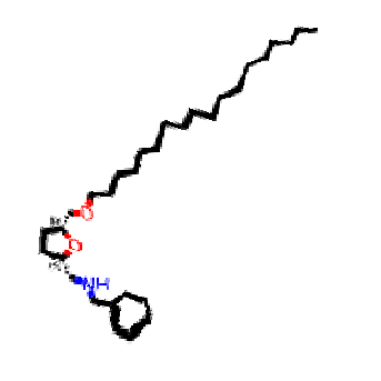 CCCCCCCCCCCCCCCCCCOC[C@H]1CC[C@@H](CNCc2ccccc2)O1